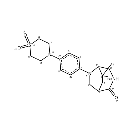 CC1(C)CC2CN(c3ccc(N4CCS(=O)(=O)CC4)cc3)C1CNC2=O